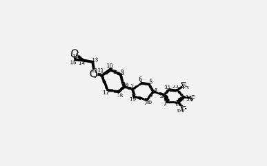 Fc1cc(C2CCC(C3CCC(OCC4CO4)CC3)CC2)cc(F)c1F